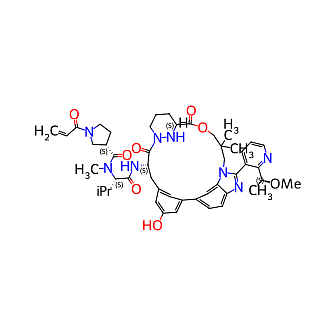 C=CC(=O)N1CC[C@H](C(=O)N(C)[C@H](C(=O)N[C@H]2Cc3cc(O)cc(c3)-c3ccc4nc(-c5cccnc5[C@H](C)OC)n(c4c3)CC(C)(C)COC(=O)[C@@H]3CCCN(N3)C2=O)C(C)C)C1